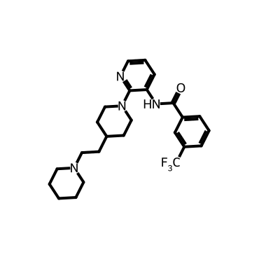 O=C(Nc1cccnc1N1CCC(CCN2CCCCC2)CC1)c1cccc(C(F)(F)F)c1